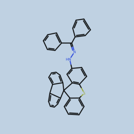 c1ccc(C(=NNc2ccc3c(c2)C2(c4ccccc4S3)c3ccccc3-c3ccccc32)c2ccccc2)cc1